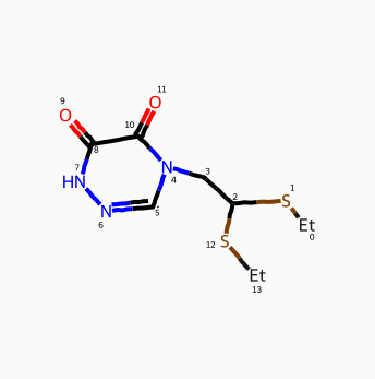 CCSC(Cn1[c]n[nH]c(=O)c1=O)SCC